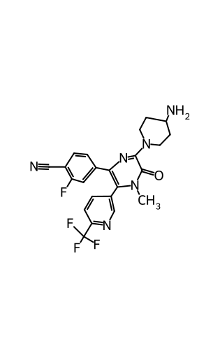 Cn1c(-c2ccc(C(F)(F)F)nc2)c(-c2ccc(C#N)c(F)c2)nc(N2CCC(N)CC2)c1=O